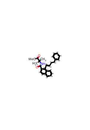 COC(=O)C(C)(C)NC(=O)c1ccc2ccccc2c1C=CCCc1ccccc1